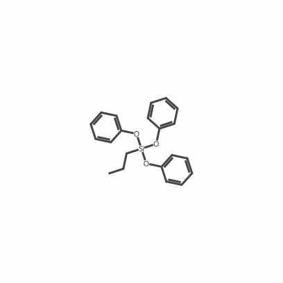 CCC[Si](Oc1ccccc1)(Oc1ccccc1)Oc1ccccc1